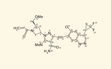 C=CC(=O)N1CC(n2nc(C#Cc3cc4nncc(C5CC5(F)F)c4cc3Cl)c(C(N)=O)c2NC)C[C@@H]1COC